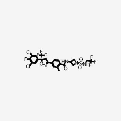 Cc1cc(C2=NO[C@@](c3cc(Cl)c(F)c(Cl)c3)(C(F)(F)F)C2)ccc1C(=O)NC1CN(S(=O)(=O)NCC(F)(F)F)C1